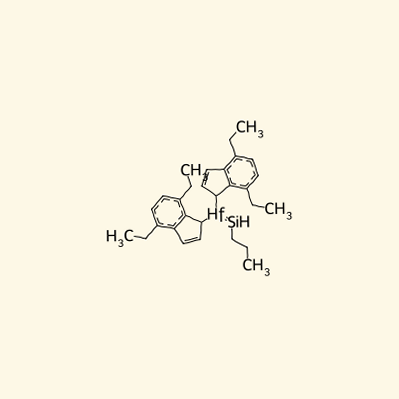 CCC[SiH]=[Hf]([CH]1C=Cc2c(CC)ccc(CC)c21)[CH]1C=Cc2c(CC)ccc(CC)c21